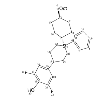 CCCCCCCC[C@H]1CC[C@H]([Si]2(c3ccccc3)CCC(c3cc(F)c(O)c(F)c3)CC2)CC1